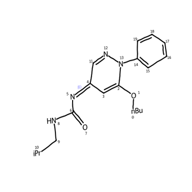 CCCCOc1c/c(=N\C(=O)NCC(C)C)cnn1-c1ccccc1